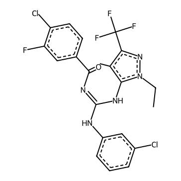 CCn1nc(C(F)(F)F)c(C)c1N/C(=N\C(=O)c1ccc(Cl)c(F)c1)Nc1cccc(Cl)c1